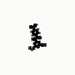 CCCC(CC(=O)O)NC(=O)c1ccc([N+](=O)[O-])cc1